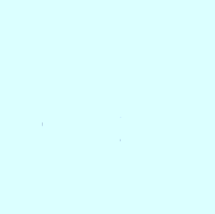 CCC1CCC2=C(C1)C(=O)c1ccccc1C2